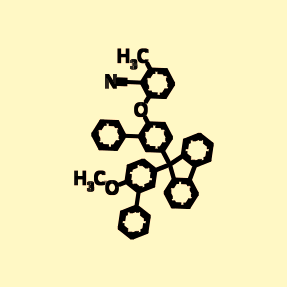 COc1ccc(C2(c3ccc(Oc4cccc(C)c4C#N)c(-c4ccccc4)c3)c3ccccc3-c3ccccc32)cc1-c1ccccc1